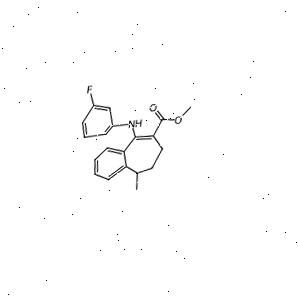 COC(=O)C1=C(Nc2cccc(F)c2)c2ccccc2C(C)CC1